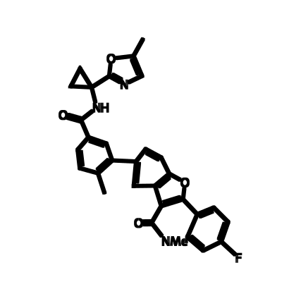 CNC(=O)c1c(-c2ccc(F)cc2)oc2ccc(-c3cc(C(=O)NC4(c5ncc(C)o5)CC4)ccc3C)cc12